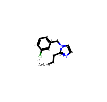 CC(=O)NCCc1nccn1Cc1cccc(Cl)c1